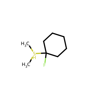 C[SH](C)C1(F)CCCCC1